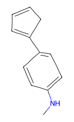 CNc1ccc(C2=CC=CC2)cc1